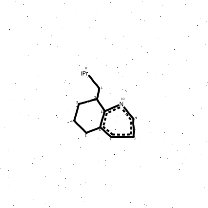 CC(C)CC1CCCc2cccnc21